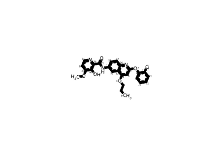 CCCOc1cc(Oc2ccccc2Cl)nc2ccc(NC(=O)c3nccc(OC)c3O)cc12